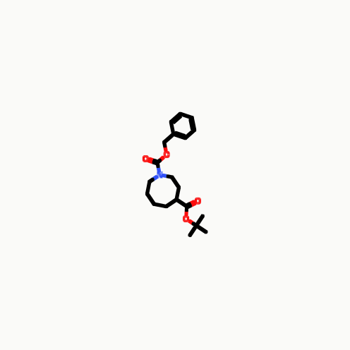 CC(C)(C)OC(=O)C1CCCCN(C(=O)OCc2ccccc2)CC1